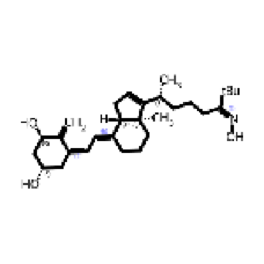 C=C1/C(=C\C=C2/CCC[C@]3(C)C([C@H](C)CCC/C(=N\O)C(C)(C)C)=CC[C@@H]23)C[C@H](O)C[C@H]1O